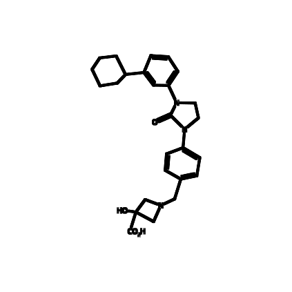 O=C1N(c2ccc(CN3CC(O)(C(=O)O)C3)cc2)CCN1c1cccc(C2CCCCC2)c1